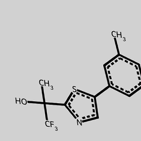 Cc1[c]ccc(-c2cnc(C(C)(O)C(F)(F)F)s2)c1